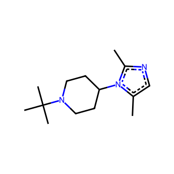 Cc1cnc(C)n1C1CCN(C(C)(C)C)CC1